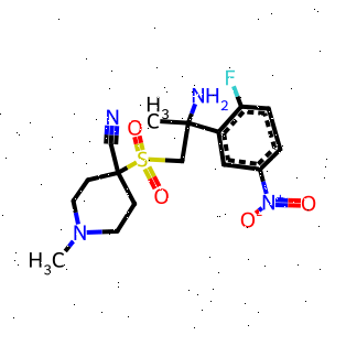 CN1CCC(C#N)(S(=O)(=O)CC(C)(N)c2cc([N+](=O)[O-])ccc2F)CC1